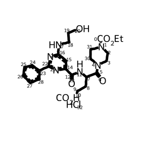 CCOC(=O)N1CCN(C(=O)C(CCC(=O)O)NC(=O)c2cc(NCCO)nc(-c3ccccc3)n2)CC1.Cl